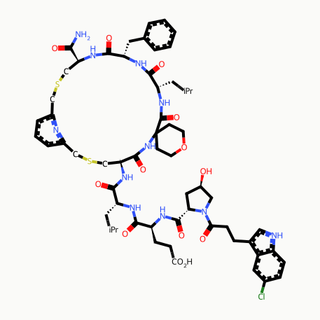 CC(C)C[C@@H]1NC(=O)C2(CCOCC2)NC(=O)[C@@H](NC(=O)[C@@H](CC(C)C)NC(=O)[C@H](CCC(=O)O)NC(=O)[C@@H]2C[C@@H](O)CN2C(=O)CCc2c[nH]c3ccc(Cl)cc23)CSCc2cccc(n2)CSC[C@@H](C(N)=O)NC(=O)[C@H](Cc2ccccc2)NC1=O